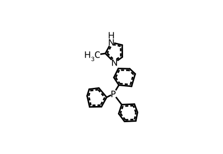 Cc1ncc[nH]1.c1ccc(P(c2ccccc2)c2ccccc2)cc1